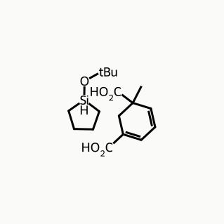 CC(C)(C)O[SiH]1CCCC1.CC1(C(=O)O)C=CC=C(C(=O)O)C1